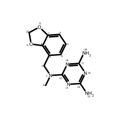 CN(Cc1cccc2c1OCO2)c1nc(N)nc(N)n1